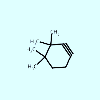 CC1(C)C#CCCC1(C)C